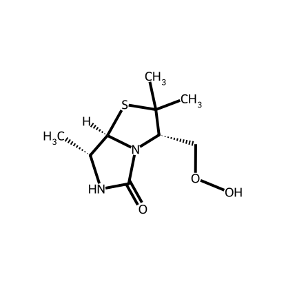 C[C@H]1NC(=O)N2[C@@H]1SC(C)(C)[C@@H]2COO